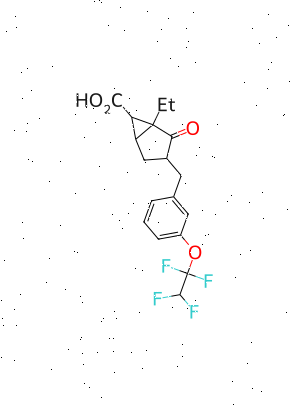 CCC12C(=O)C(Cc3cccc(OC(F)(F)C(F)F)c3)CC1C2C(=O)O